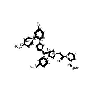 COC[C@H]1CN(C(=O)[C@]2(F)CN(CC(=O)N3CCC[C@@H]3COC)C[C@H]2c2ccc(OC)cc2)C[C@@H]1c1ccc(C(F)(F)F)cc1N1CCC(C(=O)O)CC1